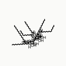 CCCCCCCCCCCCCCCC(=O)O[C@H](CCCCCCCCCCC)CC(=O)NC1C(O)OC(COC2OC(CO)C(OP(=O)(O)O)C(OC(=O)C[C@@H](CCCCCCCCCCC)OC(=O)CCCCCCCCCCCCC)C2NC(=O)C[C@@H](CCCCCCCCCCC)OC(=O)CCCCCCCCCCC)C(O)C1O